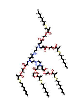 CCCCCCCCSCC(C)C(=O)OCCOC(=O)CCN(CCCNCCCN(CCC(=O)OCCOC(=O)C(C)CSCCCCCCCC)CCC(=O)OCCOC(=O)C(C)CSCCCCCCCC)CCNCCN(CCC(=O)OCCOC(=O)C(C)CSCCCCCCCC)CCC(=O)OCCOC(=O)C(C)CSCCCCCCCC